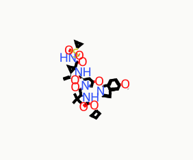 C=C[C@@H]1C[C@]1(NC(=O)[C@@H]1CC(Oc2nccc3cc(OC)ccc23)CN1C(=O)[C@@H](NC(=O)OC1CCC1)C(C)(C)C)C(=O)NS(=O)(=O)C1CC1